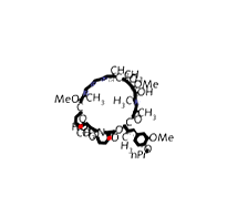 CCCO[C@@H]1CC[C@@H](C[C@@H](C)[C@@H]2CC(=O)[C@H](C)/C=C(\C)[C@@H](O)[C@@H](OC)C(=O)[C@H](C)C[C@H](C)/C=C/C=C/C=C(\C)[C@@H](OC)CC3CC[C@@H](C)[C@@](O)(O3)C(=O)C(=O)N3CCCC[C@H]3C(=O)O2)C[C@H]1OC